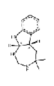 CC1(C)C[C@H]2c3ccccc3N[C@H]2PCN1